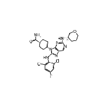 NC(=O)[C@H]1CC[C@H](n2c(Nc3c(Cl)cc(F)cc3Cl)nc3cnc(N[C@H]4CCCOC4)nc32)CC1